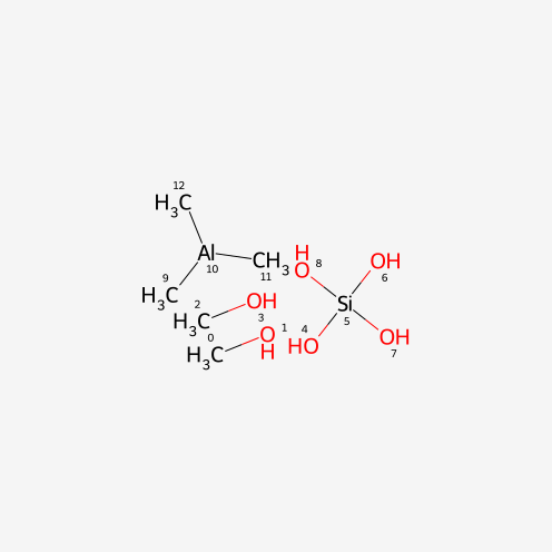 CO.CO.O[Si](O)(O)O.[CH3][Al]([CH3])[CH3]